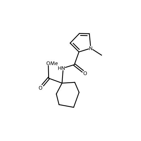 COC(=O)C1(NC(=O)c2cccn2C)CCCCC1